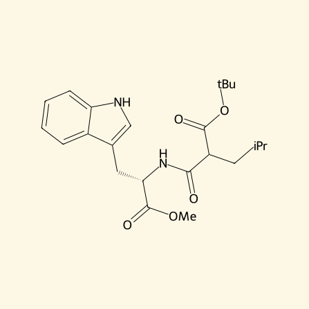 COC(=O)[C@H](Cc1c[nH]c2ccccc12)NC(=O)C(CC(C)C)C(=O)OC(C)(C)C